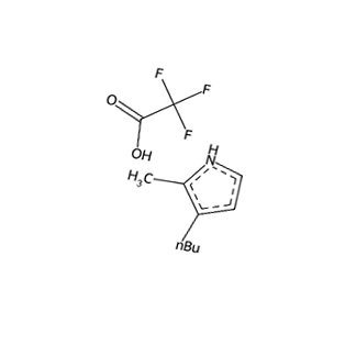 CCCCc1cc[nH]c1C.O=C(O)C(F)(F)F